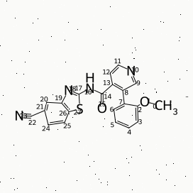 COc1ccccc1-c1cnccc1C(=O)Nc1nc2cc(C#N)ccc2s1